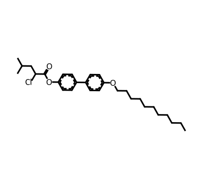 CCCCCCCCCCCOc1ccc(-c2ccc(OC(=O)C(Cl)CC(C)C)cc2)cc1